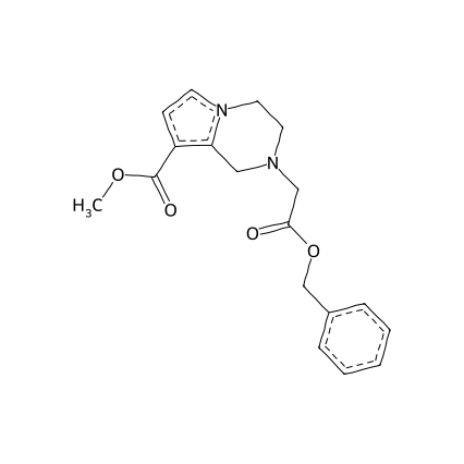 COC(=O)c1ccn2c1CN(CC(=O)OCc1ccccc1)CC2